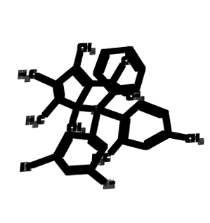 CCc1cc(CC)cc([Si](c2ccccc2)(c2ccc(C)cc2C)C2(C)C(C)=C(C)C(C)=[C]2[Ti]([CH3])[CH3])c1